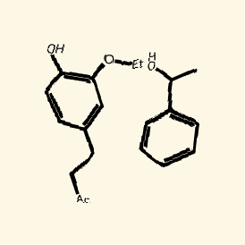 CC(O)c1ccccc1.CCOc1cc(CCC(C)=O)ccc1O